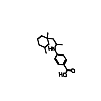 CC1CCCC(C)(CC(C)Nc2ccc(C(=O)O)cc2)C1